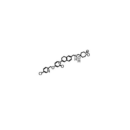 O=c1cc(OCc2ccc(Cl)cn2)ccn1C1=Cc2ccc(CNCC3(O)CCS(=O)(=O)CC3)cc2CC1